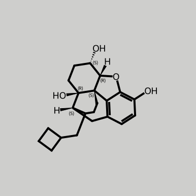 Oc1ccc2c3c1O[C@H]1[C@@H](O)CC[C@@]4(O)[C@@H](C2)C(CC2CCC2)CC[C@]314